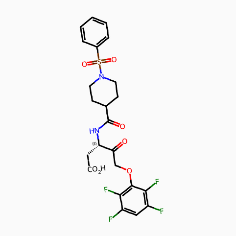 O=C(O)C[C@H](NC(=O)C1CCN(S(=O)(=O)c2ccccc2)CC1)C(=O)COc1c(F)c(F)cc(F)c1F